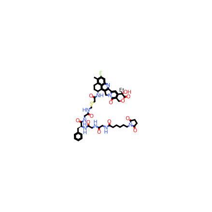 CC[C@@]1(O)C(=O)OCc2c1cc1n(c2=O)Cc2c-1nc1cc(F)c(C)c3c1c2[C@@H](NC(=O)CSCNC(=O)CNC(=O)[C@H](Cc1ccccc1)NC(=O)CNC(=O)CNC(=O)CCCCCN1C(=O)CCC1=O)CC3